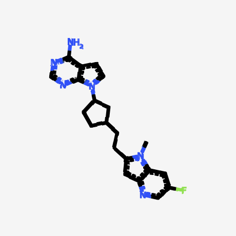 Cn1c(CCC2CCC(n3ccc4c(N)ncnc43)C2)cc2ncc(F)cc21